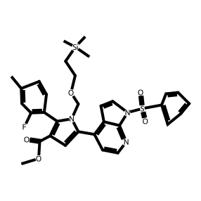 COC(=O)c1cc(-c2ccnc3c2ccn3S(=O)(=O)c2ccccc2)n(COCC[Si](C)(C)C)c1-c1ccc(C)cc1F